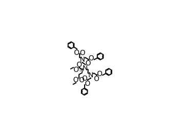 CCOC(=O)CC[C@@H](C(=O)OCC)N(CCN(CC(=O)OCc1ccccc1)CC(=O)OCc1ccccc1)CCN(CC(=O)OCc1ccccc1)CC(=O)OCc1ccccc1